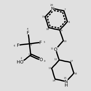 O=C(O)C(F)(F)F.c1cc(COC2CCNCC2)ccn1